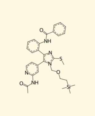 CSc1nc(-c2ccccc2NC(=O)c2ccccc2)c(-c2ccnc(NC(C)=O)c2)n1COCC[Si](C)(C)C